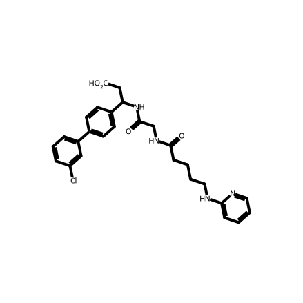 O=C(O)CC(NC(=O)CNC(=O)CCCCNc1ccccn1)c1ccc(-c2cccc(Cl)c2)cc1